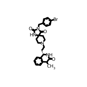 CC1C(=O)N[C@@H](CCN2CCC3(CC2)NC(=O)N(Cc2ccc(Br)cc2)C3=O)c2ccccc21